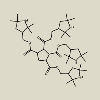 CC1(C)CC(COC(=O)C2CC(C(=O)OCC3CC(C)(C)NC3(C)C)C(C(=O)OCC3CC(C)(C)NC3(C)C)C2C(=O)OCC2CC(C)(C)NC2(C)C)C(C)(C)N1